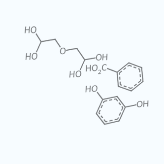 O=C(O)c1ccccc1.OC(O)COCC(O)O.Oc1cccc(O)c1